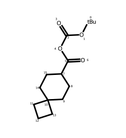 CC(C)(C)OC(=O)OC(=O)C1CCC2(CCC2)CC1